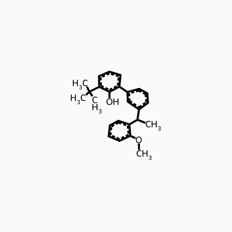 COc1ccccc1C(C)c1cccc(-c2cccc(C(C)(C)C)c2O)c1